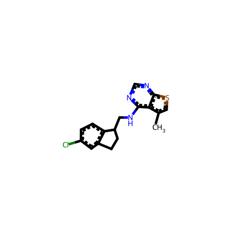 Cc1csc2ncnc(NCC3CCc4cc(Cl)ccc43)c12